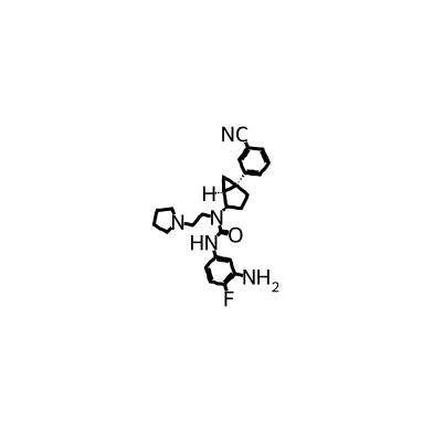 N#Cc1cccc([C@]23CC[C@@H](N(CCN4CCCC4)C(=O)Nc4ccc(F)c(N)c4)[C@H]2C3)c1